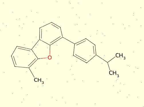 Cc1cccc2c1oc1c(-c3ccc(C(C)C)cc3)cccc12